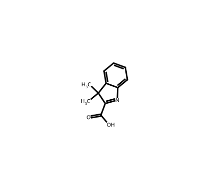 CC1(C)C(C(=O)O)=Nc2ccccc21